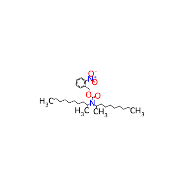 CCCCCCCCC(C)N(C(=O)OCc1ccccc1[N+](=O)[O-])C(C)CCCCCCCC